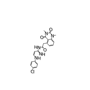 Cn1c(=O)c2c(CC(=O)NC(=N)/C=C\Nc3ccc(Cl)cc3)cccc2n(C)c1=O